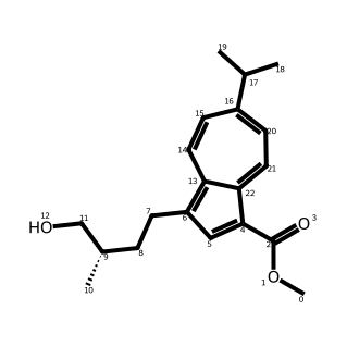 COC(=O)c1cc(CC[C@H](C)CO)c2ccc(C(C)C)ccc1-2